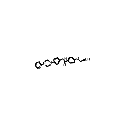 C#CCOc1ccc(C(=O)Nc2ccc(N3CCN(c4ccccn4)CC3)cc2)cc1